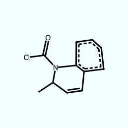 CC1C=Cc2ccccc2N1C(=O)Cl